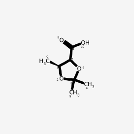 C[C@@H]1OC(C)(C)OC1C(=O)O